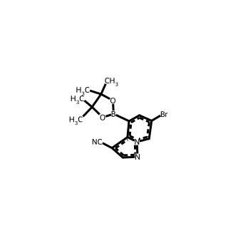 CC1(C)OB(c2cc(Br)cn3ncc(C#N)c23)OC1(C)C